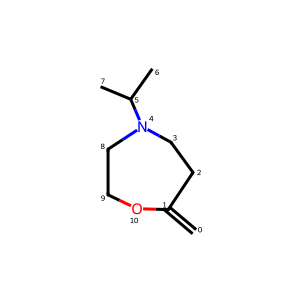 C=C1CCN(C(C)C)CCO1